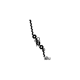 C=CCCCCCCCCCc1ccc(C(=O)Oc2cnc(-c3ccc(OCCCCC[C@@H](C)CC)cc3)cn2)cc1